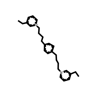 CCc1ccc[n+](CCCCc2ccc(CCCC[n+]3cccc(CC)c3)cc2)c1